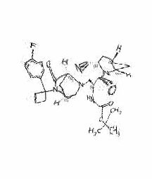 CC(C)(C)OC(=O)N[C@@H](CN1C[C@@H]2C[C@H]1C(=O)N2C1(c2ccc(F)cc2)CCC1)C(=O)N1[C@H](C#N)C[C@@H]2C[C@@H]21